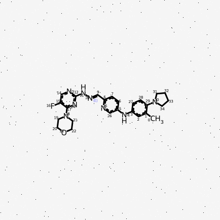 Cc1cc(Nc2ccc(/C=N/Nc3ncc(F)c(N4CCOCC4)n3)nc2)ccc1N1CCCC1